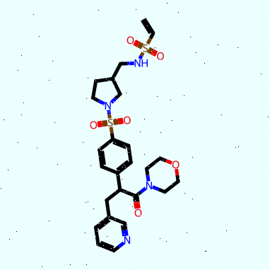 C=CS(=O)(=O)NCC1CCN(S(=O)(=O)c2ccc(C(Cc3cccnc3)C(=O)N3CCOCC3)cc2)C1